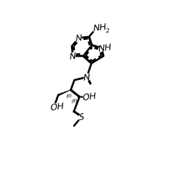 CSC[C@H](O)[C@@H](CO)CN(C)c1c[nH]c2c(N)ncnc12